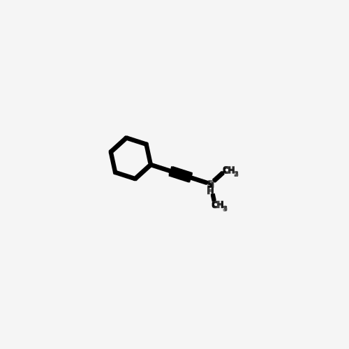 C[SiH](C)C#CC1CCCCC1